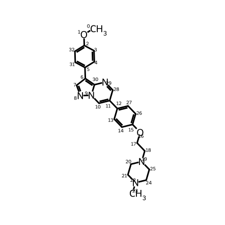 COc1ccc(-c2cnn3cc(-c4ccc(OCCN5CCN(C)CC5)cc4)cnc23)cc1